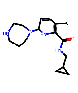 CC1=C(C(=O)NCC2CC2)NC(N2CCCNCC2)C=C1